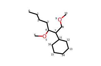 CCCCC(OC)C(COC)C1CCCCC1